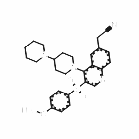 COc1ccc(S(=O)(=O)c2cnc3ccc(CC#N)cc3c2N2CCC(N3CCCCC3)CC2)cc1